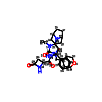 CC(C)N1C(=O)N(CC2CCOCC2)CC12CC1CCC(C2)N1CC[C@H](NC(=O)[C@@H]1CC(=O)N1)c1ccccc1